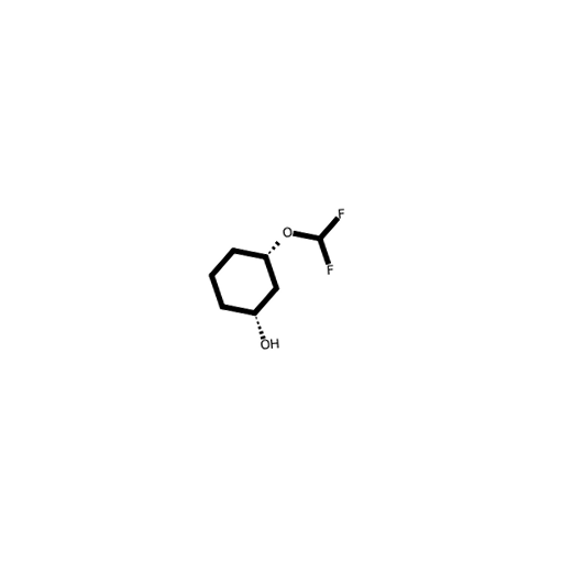 O[C@@H]1CCC[C@H](OC(F)F)C1